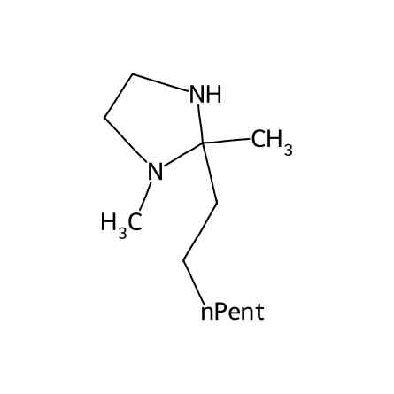 CCCCCCCC1(C)NCCN1C